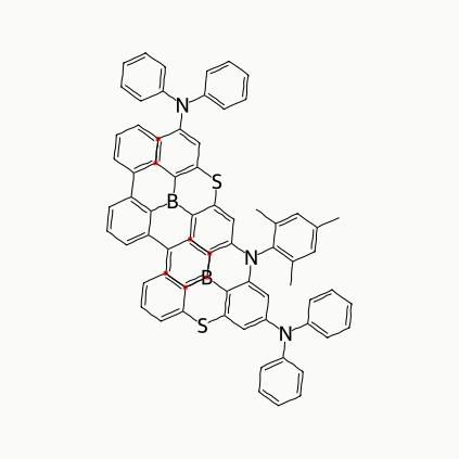 Cc1cc(C)c(N2c3cc4c(cc3B3c5ccccc5Sc5cc(N(c6ccccc6)c6ccccc6)cc2c53)B(c2c(-c3ccccc3)cccc2-c2ccccc2)c2ccc(N(c3ccccc3)c3ccccc3)cc2S4)c(C)c1